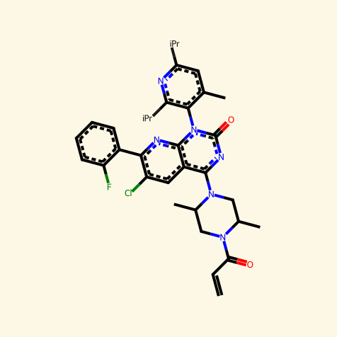 C=CC(=O)N1CC(C)N(c2nc(=O)n(-c3c(C)cc(C(C)C)nc3C(C)C)c3nc(-c4ccccc4F)c(Cl)cc23)CC1C